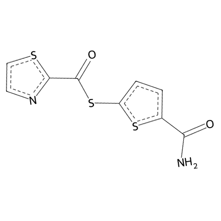 NC(=O)c1ccc(SC(=O)c2nccs2)s1